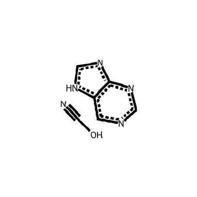 N#CO.c1ncc2[nH]cnc2n1